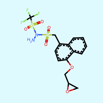 NN(S(=O)(=O)Cc1ccc(OCC2CO2)c2ccccc12)S(=O)(=O)C(F)(F)F